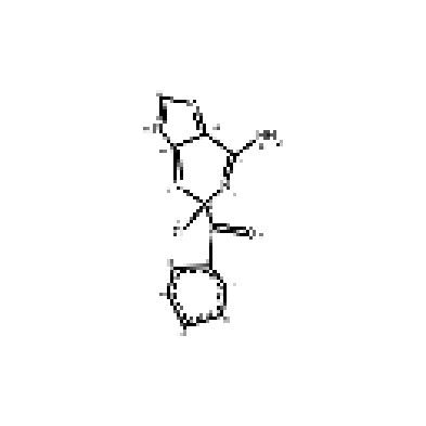 NC1=NC(Cl)(C(=O)c2ccccc2)N=C2N=CN=C12